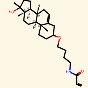 C=CC(=O)NCCCCOC1CC[C@@]2(C)C(=CC[C@@H]3[C@@H]2CC[C@@]2(C)[C@H]3CCC2(C)O)C1